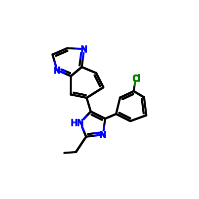 CCc1nc(-c2cccc(Cl)c2)c(-c2ccc3nccnc3c2)[nH]1